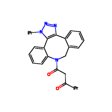 CC(C)C(=O)CC(=O)N1Cc2ccccc2-c2nnn(C(C)C)c2-c2ccccc21